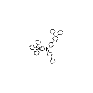 C1=CCCC([Si](c2ccccc2)(c2ccccc2)c2ccc(N(c3ccc(-c4ccccc4)cc3)c3ccc(-c4ccc(-c5ccccc5)c(-c5ccccc5)c4)cc3)cc2)=C1